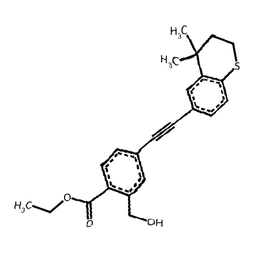 CCOC(=O)c1ccc(C#Cc2ccc3c(c2)C(C)(C)CCS3)cc1CO